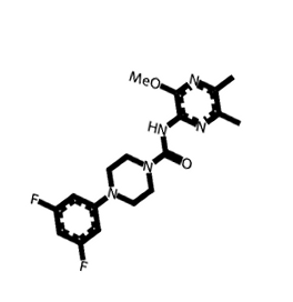 COc1nc(C)c(C)nc1NC(=O)N1CCN(c2cc(F)cc(F)c2)CC1